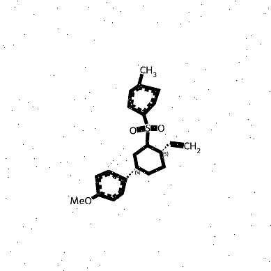 C=C[C@@H]1CC[C@H](c2ccc(OC)cc2)CC1S(=O)(=O)c1ccc(C)cc1